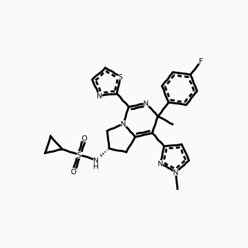 Cn1ccc(C2=C3C[C@H](NS(=O)(=O)C4CC4)CN3C(c3nccs3)=NC2(C)c2ccc(F)cc2)n1